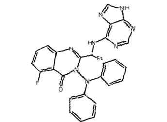 CCC(Nc1ncnc2[nH]cnc12)c1nc2cccc(F)c2c(=O)n1N(c1ccccc1)c1ccccc1